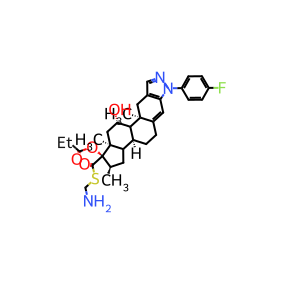 CCC(=O)O[C@]1(C(=O)SCN)[C@H](C)CC2[C@@H]3CCC4=Cc5c(cnn5-c5ccc(F)cc5)C[C@]4(C)C3[C@@H](O)C[C@@]21C